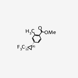 COC(=O)c1ccc([C@@H]2C[C@@H]2C(F)(F)F)cc1C